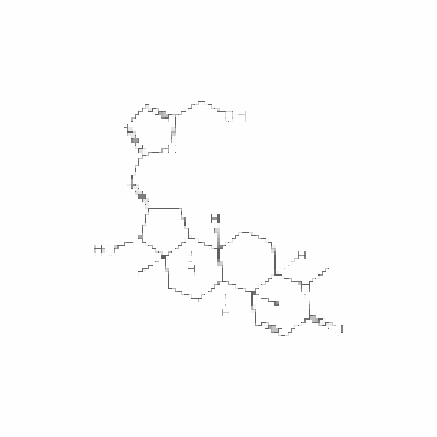 CN1C(=O)C=C[C@]2(C)[C@H]3CC[C@]4(C)[C@@H](O)C(=Cc5ccc(CO)o5)C[C@H]4[C@@H]3CC[C@@H]12